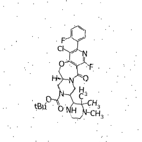 CN1CCNC(C2CN3C(=O)c4c(F)nc(-c5ccccc5F)c(Cl)c4OC[C@H]3CN2C(=O)OC(C)(C)C)C1(C)C